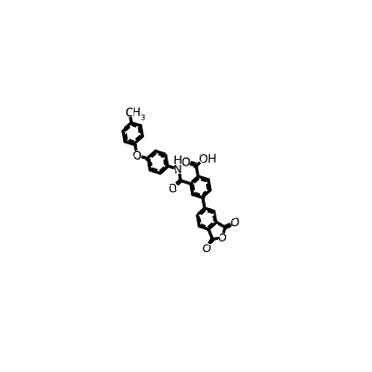 Cc1ccc(Oc2ccc(NC(=O)c3cc(-c4ccc5c(c4)C(=O)OC5=O)ccc3C(=O)O)cc2)cc1